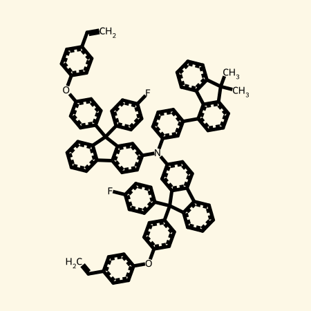 C=Cc1ccc(Oc2ccc(C3(c4ccc(F)cc4)c4ccccc4-c4ccc(N(c5cccc(-c6cccc7c6-c6ccccc6C7(C)C)c5)c5ccc6c(c5)C(c5ccc(F)cc5)(c5ccc(Oc7ccc(C=C)cc7)cc5)c5ccccc5-6)cc43)cc2)cc1